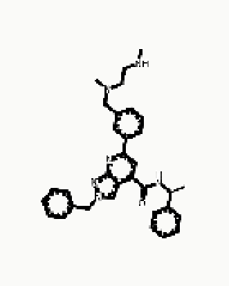 CNCCN(C)Cc1cccc(-c2cc(C(=O)N[C@@H](C)c3ccccc3)c3cn(Cc4ccccc4)nc3n2)c1